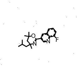 CC(C)CC1(C)CC(C)(C)OC(c2cnc3c(F)cccc3c2)=N1